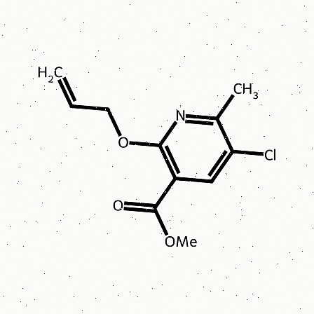 C=CCOc1nc(C)c(Cl)cc1C(=O)OC